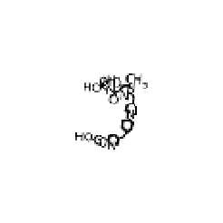 Cc1nc(CC2CCN(c3ccc(Cc4ccc(OCCO)nc4)cc3)CC2)nc(C(=O)NCC(=O)O)c1O